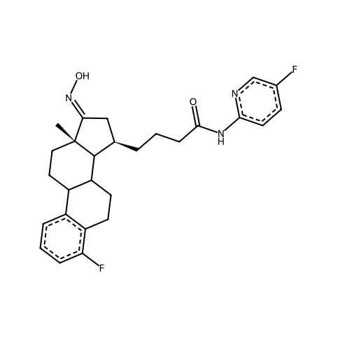 C[C@]12CCC3c4cccc(F)c4CCC3C1[C@H](CCCC(=O)Nc1ccc(F)cn1)C/C2=N\O